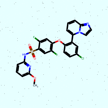 COc1cccc(NS(=O)(=O)c2cc(F)c(Oc3ccc(Cl)cc3-c3cccc4nccn34)cc2F)n1